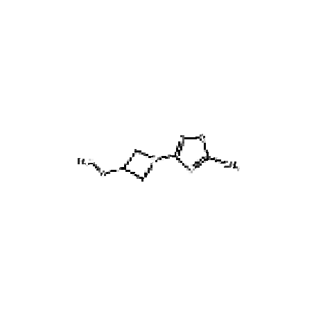 COC1CN(c2noc(C)n2)C1